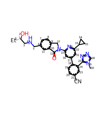 CC[C@H](O)CNCc1ccc2c(c1)C(=O)N(c1cc(-c3ccc(C#N)cc3-c3nncn3C)cc(C3CC3)n1)C2